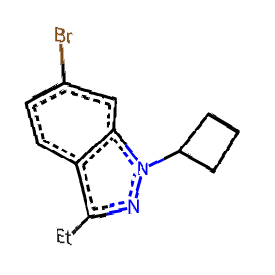 CCc1nn(C2CCC2)c2cc(Br)ccc12